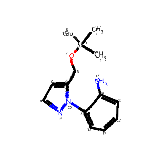 CC(C)(C)[Si](C)(C)OCc1ccnn1-c1ccccc1N